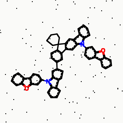 c1ccc2c(c1)oc1cc(-n3c4ccccc4c4ccc(-c5ccc6c(c5)-c5cc7c(cc5C65CCCCC5)c5ccccc5n7-c5ccc6c(c5)oc5ccccc56)cc43)ccc12